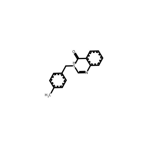 Cc1ccc(C[SH]2C=Nc3ccccc3C2=O)cc1